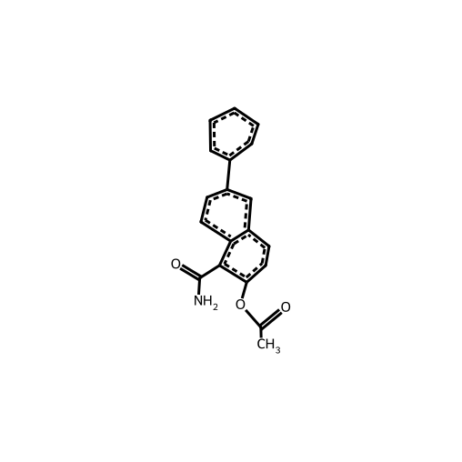 CC(=O)Oc1ccc2cc(-c3ccccc3)ccc2c1C(N)=O